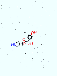 CC(C)(OC(=O)C(O)c1ccc(O)cc1)C1CCNCC1